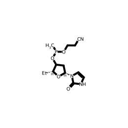 CC[C@H]1O[C@@H](n2cc[nH]c2=O)CC1OP(C)OCCC#N